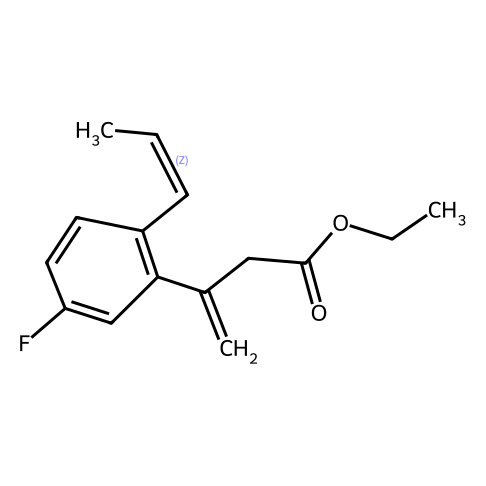 C=C(CC(=O)OCC)c1cc(F)ccc1/C=C\C